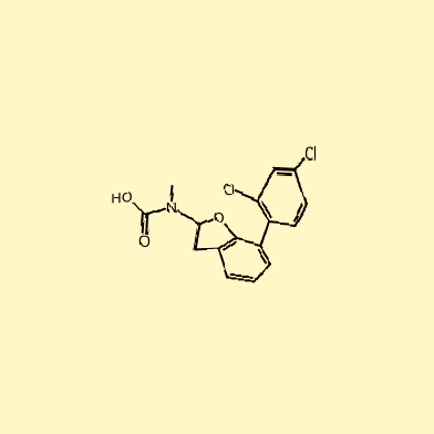 CN(C(=O)O)C1Cc2cccc(-c3ccc(Cl)cc3Cl)c2O1